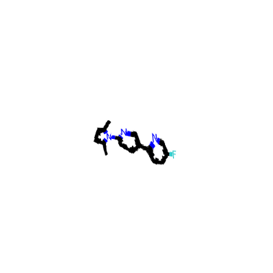 Cc1ccc(C)n1-c1ccc(-c2ccc(F)cn2)cn1